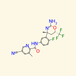 Cc1cc(C#N)cnc1C(=O)Nc1ccc(F)c([C@@]2(C)C[C@@H](C(F)(F)F)OC(N)=N2)c1